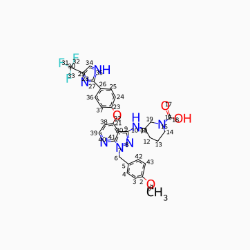 COc1ccc(Cn2nc(N[C@@H]3CCCN(C(=O)O)C3)c3c(Oc4ccc(-c5nc(C(F)(F)F)c[nH]5)cc4)ccnc32)cc1